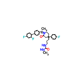 CNC(=O)NCCC[C@]1(c2ccc(F)cc2)CCN([C@@H](C)c2ccc(-c3ccc(F)cc3F)cc2)C(=O)C1